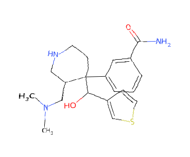 CN(C)CC1CNCCC1(c1cccc(C(N)=O)c1)C(O)c1ccsc1